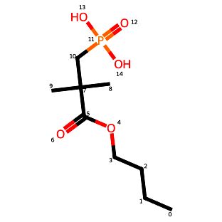 CCCCOC(=O)C(C)(C)CP(=O)(O)O